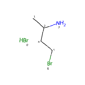 Br.CC(N)CCBr